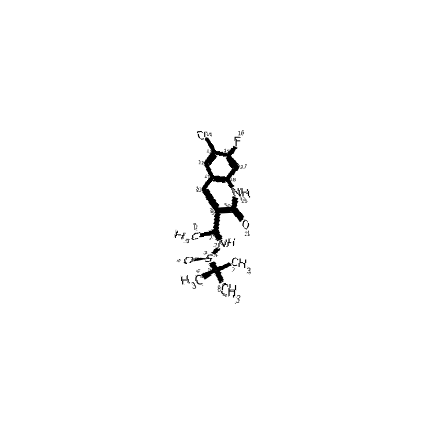 CC(N[S@+]([O-])C(C)(C)C)c1cc2cc(Cl)c(F)cc2[nH]c1=O